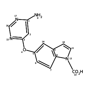 Nc1cc(Oc2ccc3c(ccn3C(=O)O)c2)ncn1